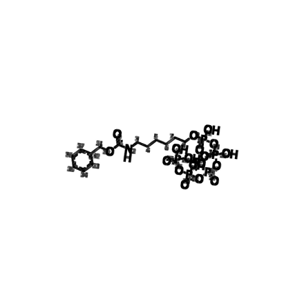 O=C(NCCCCCCOP(=O)(O)OP(=O)(O)OP(=O)(O)OP(=O)(O)OP(=O)(O)O)OCc1ccccc1